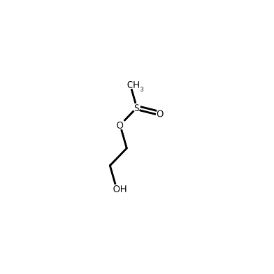 CS(=O)OCCO